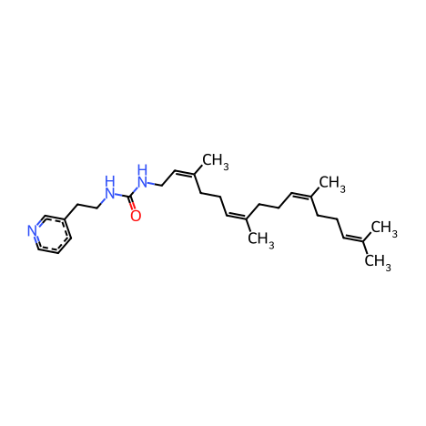 CC(C)=CCCC(C)=CCCC(C)=CCCC(C)=CCNC(=O)NCCc1cccnc1